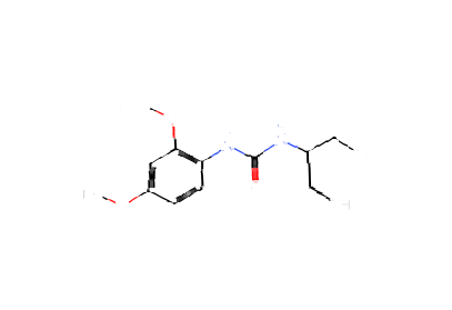 CCC(CC)NC(=O)Nc1ccc(OC)cc1OC